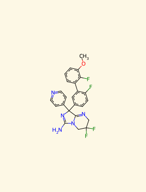 COc1cccc(-c2cc(C3(c4ccncc4)N=C(N)N4CC(F)(F)CN=C43)ccc2F)c1F